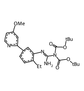 CCc1ccc(-c2cc(OC)ccn2)cc1/N=C(\N)N(C(=O)OC(C)(C)C)C(=O)OC(C)(C)C